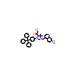 COc1ccc2c(CN3CN(c4ccc(C(c5ccccc5)(c5ccccc5)c5ccccc5)cc4)C(C(=O)C=O)C3(C)C)ccnc2c1